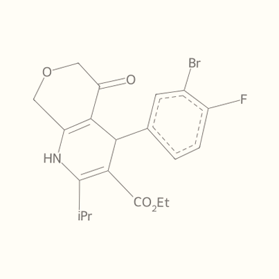 CCOC(=O)C1=C(C(C)C)NC2=C(C(=O)COC2)C1c1ccc(F)c(Br)c1